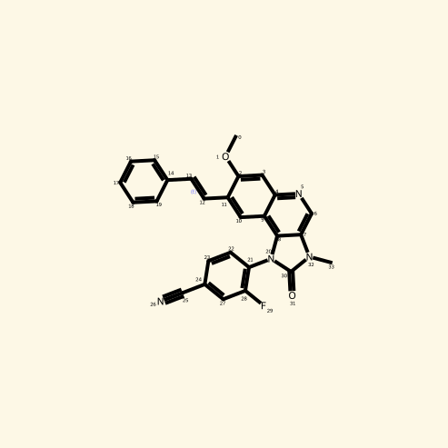 COc1cc2ncc3c(c2cc1/C=C/c1ccccc1)n(-c1ccc(C#N)cc1F)c(=O)n3C